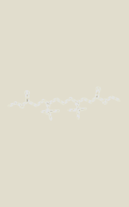 CCOC(=O)CCN(CCCN(CCC(=O)OCC)[Si](C)(C)C)[Si](C)(C)C